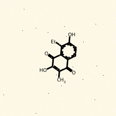 CCc1c(O)ccc2c1C(=O)C(O)=C(C)C2=O